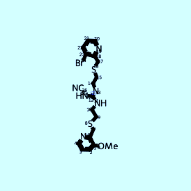 COc1cccnc1CSCCN/C(=N/CCSCc1ncccc1Br)NC#N